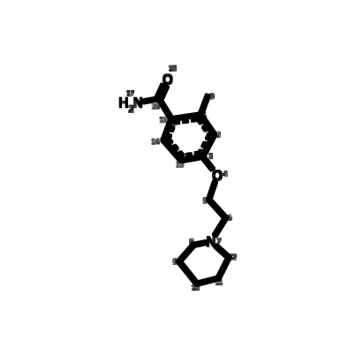 Cc1cc(OCCN2CCCCC2)ccc1C(N)=O